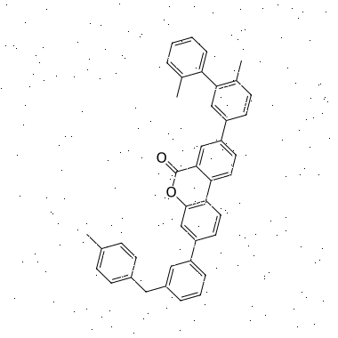 Cc1ccc(Cc2cccc(-c3ccc4c(c3)oc(=O)c3cc(-c5ccc(C)c(-c6ccccc6C)c5)ccc34)c2)cc1